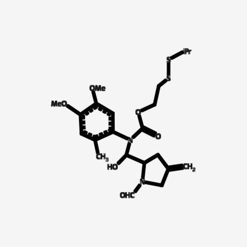 C=C1CC(C(O)N(C(=O)OCCSSC(C)C)c2cc(OC)c(OC)cc2C)N(C=O)C1